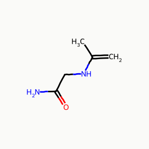 C=C(C)NCC(N)=O